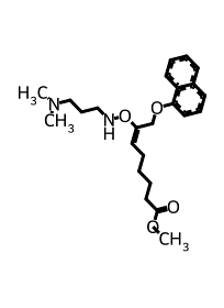 COC(=O)CCCC/C=C(\COc1cccc2ccccc12)ONCCCN(C)C